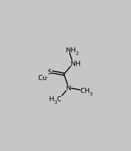 CN(C)C(=S)NN.[Cu]